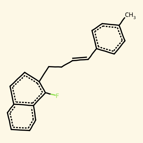 Cc1ccc(C=CCCc2ccc3ccccc3c2F)cc1